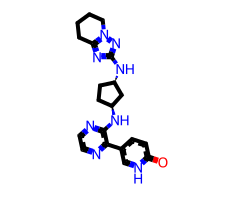 O=c1ccc(-c2nccnc2N[C@H]2CC[C@H](Nc3nc4n(n3)CCCC4)C2)c[nH]1